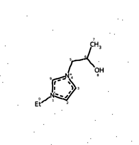 CCn1cc[n+](CC(C)O)c1